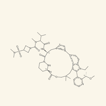 CCn1c(-c2cccnc2[C@H](C)OC)c2c3cc(ccc31)-c1csc(n1)C[C@H](NC(=O)C(C(C)C)N(C)C(=O)N1CC(S(=O)(=O)N(C)C)C1)C(=O)N1CCC[C@H](N1)C(=O)OCC(C)(C)C2